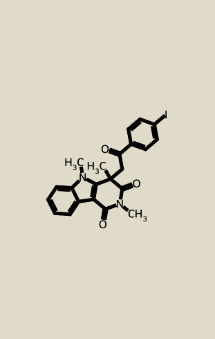 CN1C(=O)c2c(n(C)c3ccccc23)C(C)(CC(=O)c2ccc(I)cc2)C1=O